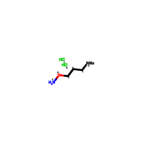 CNCCCON.Cl.Cl